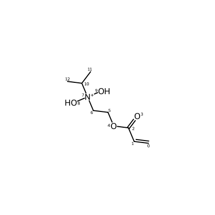 C=CC(=O)OCC[N+](O)(O)C(C)C